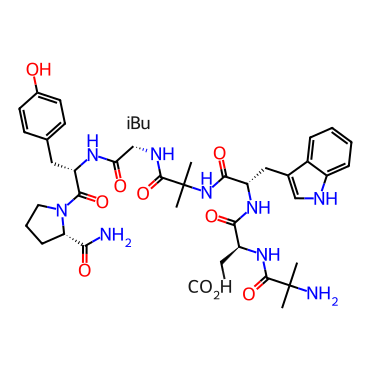 CC[C@H](C)[C@H](NC(=O)C(C)(C)NC(=O)[C@H](Cc1c[nH]c2ccccc12)NC(=O)[C@H](CC(=O)O)NC(=O)C(C)(C)N)C(=O)N[C@@H](Cc1ccc(O)cc1)C(=O)N1CCC[C@H]1C(N)=O